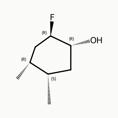 C[C@@H]1C[C@@H](F)[C@H](O)C[C@@H]1C